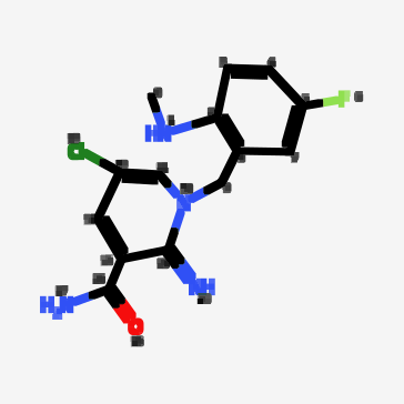 CNc1ccc(F)cc1Cn1cc(Cl)cc(C(N)=O)c1=N